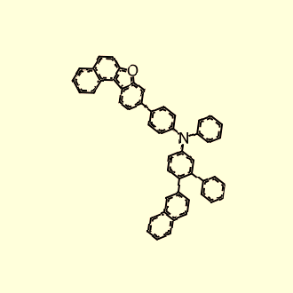 c1ccc(-c2cc(N(c3ccccc3)c3ccc(-c4ccc5c(c4)oc4ccc6ccccc6c45)cc3)ccc2-c2ccc3ccccc3c2)cc1